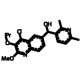 COc1nc2ccc(C(O)c3ccc(C)nc3C)cc2c(Cl)c1OC(C)C